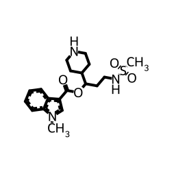 Cn1cc(C(=O)OC(CCNS(C)(=O)=O)C2CCNCC2)c2ccccc21